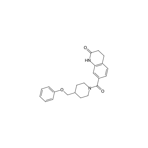 O=C1CCc2ccc(C(=O)N3CCC(COc4ccccc4)CC3)cc2N1